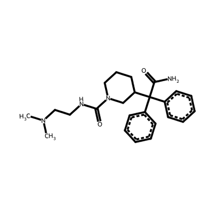 CN(C)CCNC(=O)N1CCCC(C(C(N)=O)(c2ccccc2)c2ccccc2)C1